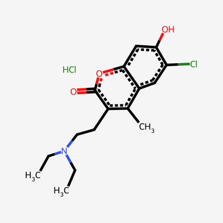 CCN(CC)CCc1c(C)c2cc(Cl)c(O)cc2oc1=O.Cl